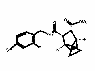 COC(=O)[C@H]1[C@H](C(=O)NCc2ccc(Br)cc2F)[C@@H]2C=C[C@H]1C21CC1